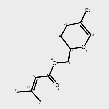 CCC1=COC(COC(=O)C=C(C)C)CC1